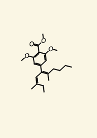 CCCC/C(C)=C(/C=C(/C)CC)c1cc(OC)c(C(=O)OC)c(OC)c1